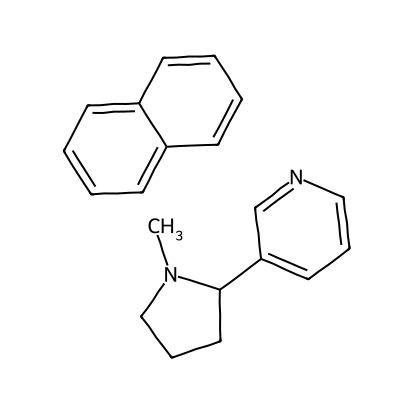 CN1CCCC1c1cccnc1.c1ccc2ccccc2c1